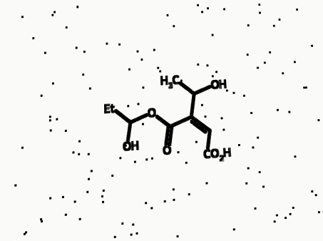 CCC(O)OC(=O)/C(=C\C(=O)O)C(C)O